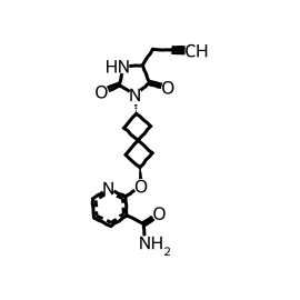 C#CCC1NC(=O)N([C@H]2CC3(C[C@H](Oc4ncccc4C(N)=O)C3)C2)C1=O